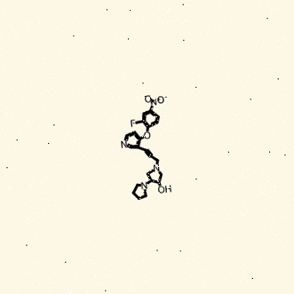 O=[N+]([O-])c1ccc(Oc2ccncc2C#CCN2CC(O)C(N3CCCC3)C2)c(F)c1